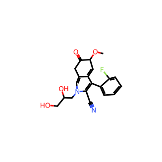 COC1C=C2C(=CN(CC(O)CO)C(C#N)=C2c2ccccc2F)CC1=O